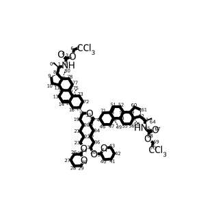 C[C@@H](NC(=O)OCC(Cl)(Cl)Cl)[C@H]1CCC2C3CC=C4C[C@@H](C(CCCCCOC5CCCCO5)OC(CCCCCOC5CCCCO5)[C@H]5CC[C@@]6(C)C(=CCC7C6CC[C@@]6(C)C7CC[C@@H]6[C@@H](C)NC(=O)OCC(Cl)(Cl)Cl)C5)CC[C@]4(C)C3CC[C@@]21C